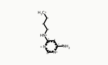 CCCCNc1cc(N)ncn1